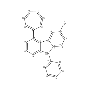 Brc1ccc2c(c1)c1c(C3=CC=CC=C=C3)cccc1n2-c1ccccc1